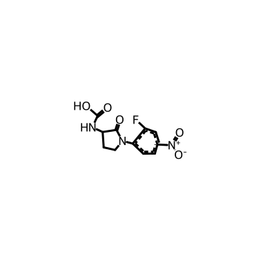 O=C(O)NC1CCN(c2ccc([N+](=O)[O-])cc2F)C1=O